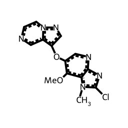 COc1c(Oc2cnn3ccncc23)cnc2nc(Cl)n(C)c12